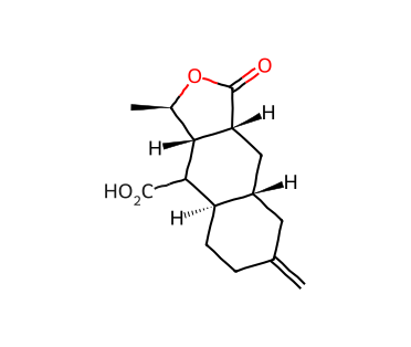 C=C1CC[C@H]2C(C(=O)O)[C@@H]3[C@@H](C)OC(=O)[C@@H]3C[C@@H]2C1